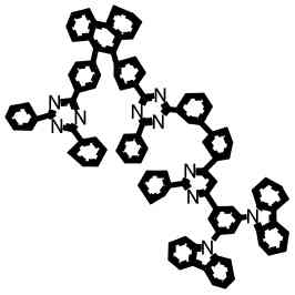 c1ccc(-c2nc(-c3cccc(-c4cccc(-c5nc(-c6ccccc6)nc(-c6ccc(-c7c(-c8ccc(-c9nc(-c%10ccccc%10)nc(-c%10ccccc%10)n9)cc8)c8ccccc8c8ccccc78)cc6)n5)c4)c3)cc(-c3cc(-n4c5ccccc5c5ccccc54)cc(-n4c5ccccc5c5ccccc54)c3)n2)cc1